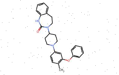 Cc1ccc(N2CCC(N3CCc4ccccc4NC3=O)CC2)cc1Oc1ccccc1